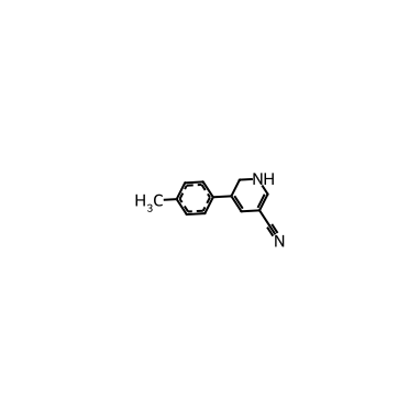 Cc1ccc(C2=CC(C#N)=CNC2)cc1